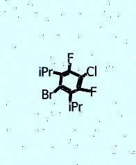 CC(C)c1c(F)c(Cl)c(F)c(C(C)C)c1Br